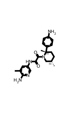 Cc1cc(NC(=O)C(=O)N2C[C@@H](C)CC[C@@]2(C)c2ccc(N)cc2)cnc1N